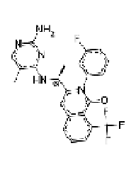 Cc1cnc(N)nc1N[C@@H](C)c1cc2cccc(C(F)(F)F)c2c(=O)n1-c1cccc(F)c1